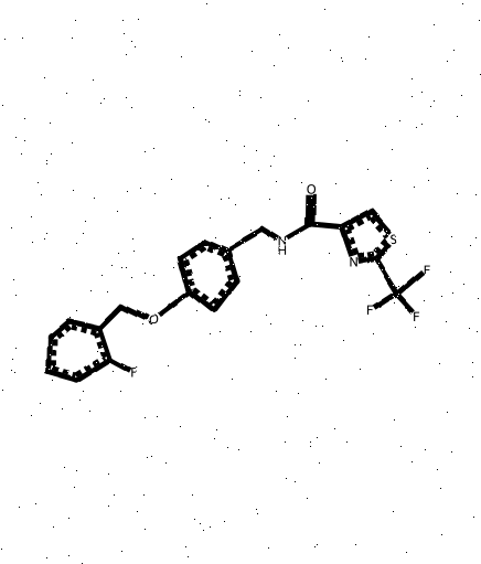 O=C(NCc1ccc(OCc2ccccc2F)cc1)c1csc(C(F)(F)F)n1